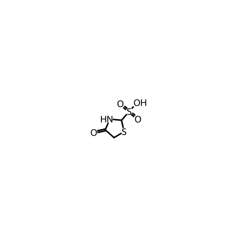 O=C1CSC(S(=O)(=O)O)N1